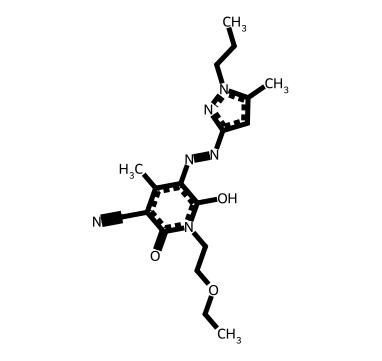 CCCn1nc(N=Nc2c(C)c(C#N)c(=O)n(CCOCC)c2O)cc1C